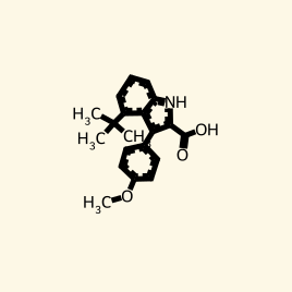 COc1ccc(-c2c(C(=O)O)[nH]c3cccc(C(C)(C)C)c23)cc1